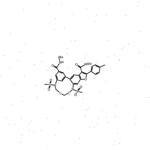 CNC(=O)c1c(-c2ccc(C)cc2)oc2cc3c(cc12)-c1cc(C(=O)NC(C)(C)C)cc(c1)N(S(C)(=O)=O)CCCCN3S(C)(=O)=O